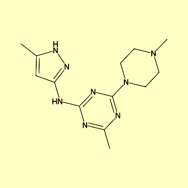 Cc1nc(Nc2cc(C)[nH]n2)nc(N2CCN(C)CC2)n1